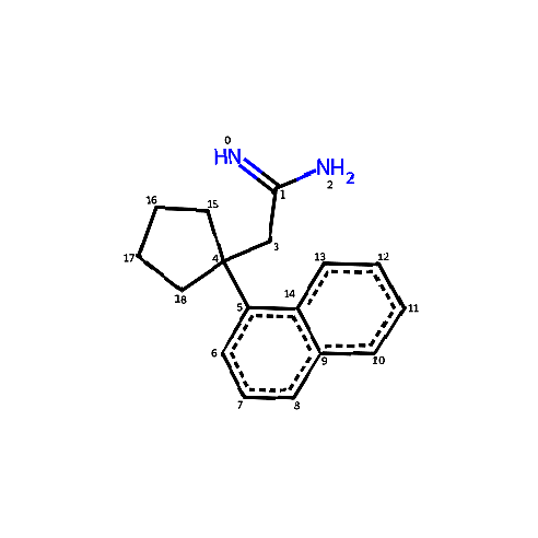 N=C(N)CC1(c2cccc3ccccc23)CCCC1